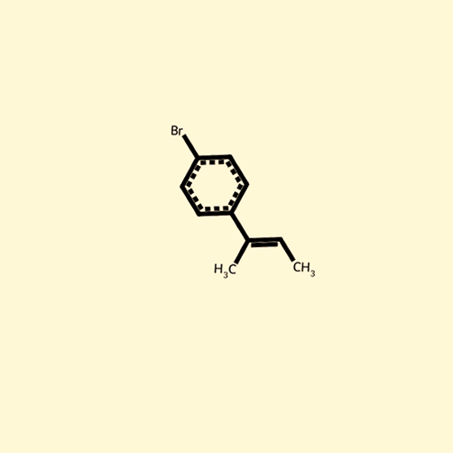 CC=C(C)c1ccc(Br)cc1